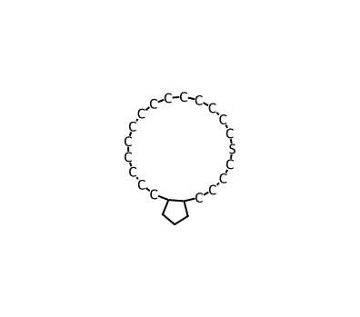 C1CCCCCCCC2CCCC2CCCCSCCCCCC1